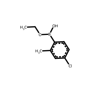 CCOB(O)c1ccc(Cl)cc1C